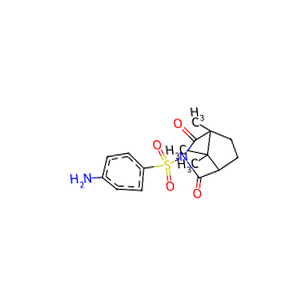 CC12CCC(C(=O)N(S(=O)(=O)c3ccc(N)cc3)C1=O)C2(C)C